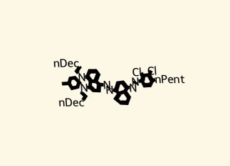 CCCCCCCCCCCCN1c2cccc3c(/N=N/c4ccc(/N=N/c5ccc(CCCCC)c(Cl)c5Cl)c5ccccc45)ccc(c23)N(CCCCCCCCCCCC)C12CCC(C)CC2